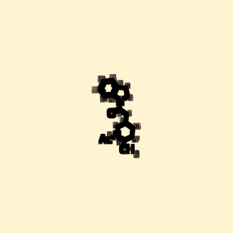 CC(=O)N1CC(CC(=O)N2CCc3ccccc32)CCC1C